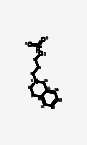 O=[SH](=O)OCCCN1CCc2ccccc2C1